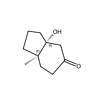 C[C@]12CCC[C@@]1(O)CC(=O)CC2